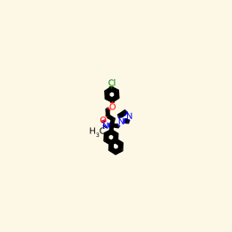 CN1OC(COc2ccc(Cl)cc2)CC1(Cn1ccnc1)c1ccc2ccccc2c1